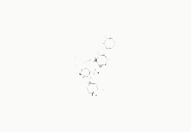 CC1(C)CC(=O)c2c([nH]c(-c3ccncc3)c2Nc2ccc(-c3ccccc3)cc2)C1